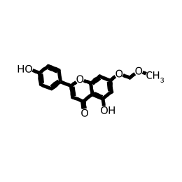 COCOc1cc(O)c2c(=O)cc(-c3ccc(O)cc3)oc2c1